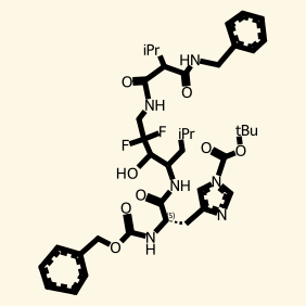 CC(C)CC(NC(=O)[C@H](Cc1cn(C(=O)OC(C)(C)C)cn1)NC(=O)OCc1ccccc1)C(O)C(F)(F)CNC(=O)C(C(=O)NCc1ccccc1)C(C)C